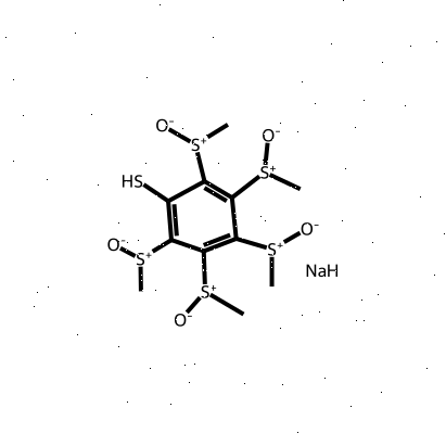 C[S+]([O-])c1c(S)c([S+](C)[O-])c([S+](C)[O-])c([S+](C)[O-])c1[S+](C)[O-].[NaH]